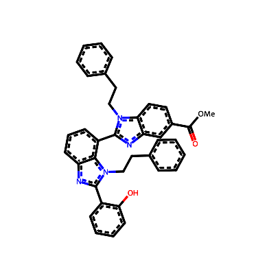 COC(=O)c1ccc2c(c1)nc(-c1cccc3nc(-c4ccccc4O)n(CCc4ccccc4)c13)n2CCc1ccccc1